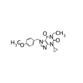 CCn1c(=O)c2c(ncn2Cc2ccc(OC)cc2)n(C2CC2)c1=O